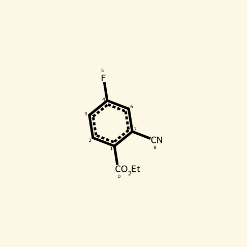 CCOC(=O)c1c[c]c(F)cc1C#N